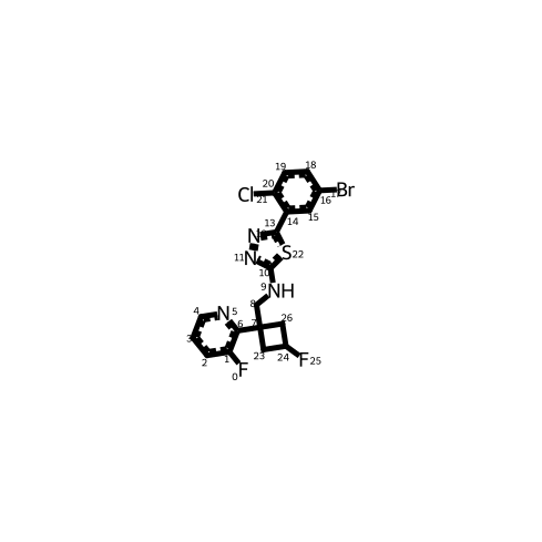 Fc1cccnc1C1(CNc2nnc(-c3cc(Br)ccc3Cl)s2)CC(F)C1